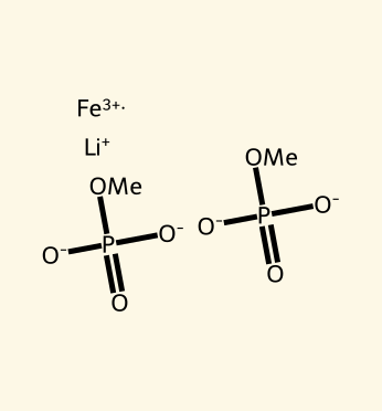 COP(=O)([O-])[O-].COP(=O)([O-])[O-].[Fe+3].[Li+]